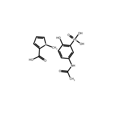 CC(=O)Nc1ccc(O)c([As](=O)(O)O)c1.Cn1cccc1C(=O)O